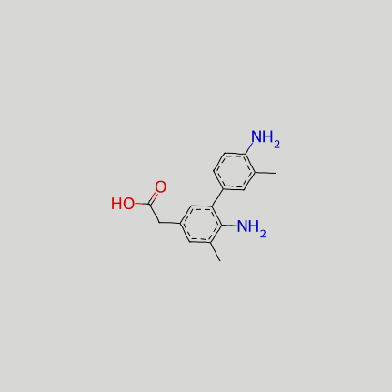 Cc1cc(-c2cc(CC(=O)O)cc(C)c2N)ccc1N